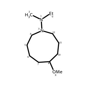 CCN(C)N1CCCCC(OC)CCC1